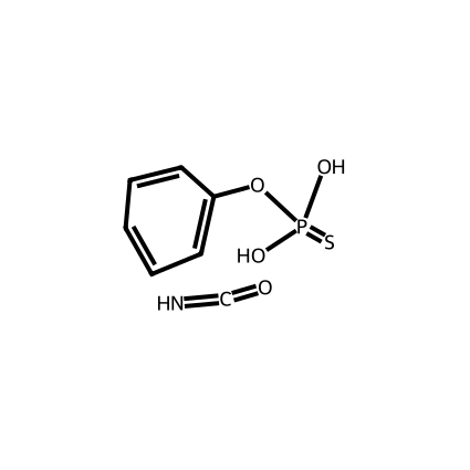 N=C=O.OP(O)(=S)Oc1ccccc1